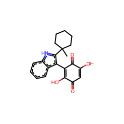 CC1(c2[nH]c3ccccc3c2C2=C(O)C(=O)C=C(O)C2=O)CCCCC1